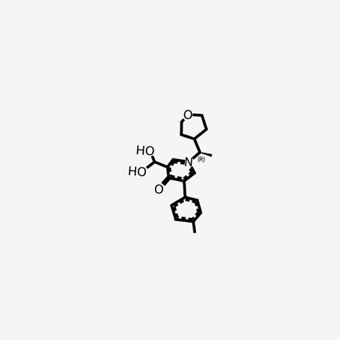 Cc1ccc(-c2cn([C@H](C)C3CCOCC3)cc(C(O)O)c2=O)cc1